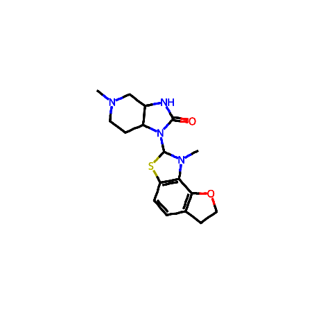 CN1CCC2C(C1)NC(=O)N2C1Sc2ccc3c(c2N1C)OCC3